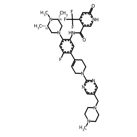 C[C@@H]1CN(c2cc(F)c(C3=CCN(c4ncc(CN5CCN(C)CC5)cn4)CC3)cc2NC(=O)c2c[nH]c(=O)cc2C(F)(F)F)C[C@H](C)N1C